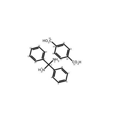 NC(N)(c1ccccc1)c1ccccc1.O=C(O)c1ccc(C(=O)O)cc1